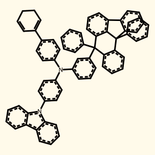 C1=CC(c2ccc(N(c3ccc(-n4c5ccccc5c5ccccc54)cc3)c3cccc(C4(c5ccccc5)c5ccccc5C5(c6ccccc6)c6ccccc6-c6cccc4c65)c3)cc2)=CCC1